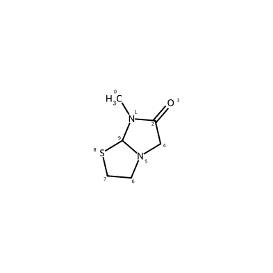 CN1C(=O)CN2CCSC21